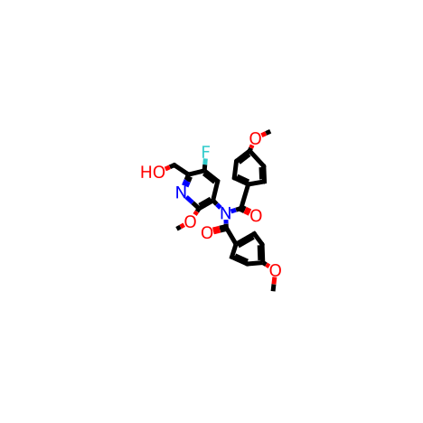 COc1ccc(C(=O)N(C(=O)c2ccc(OC)cc2)c2cc(F)c(CO)nc2OC)cc1